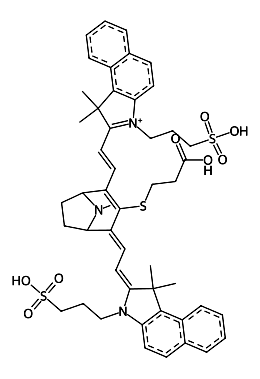 CN1C2CCC1/C(=C\C=C1\N(CCCS(=O)(=O)O)c3ccc4ccccc4c3C1(C)C)C(SCCC(=O)O)=C2/C=C/C1=[N+](CCCS(=O)(=O)O)c2ccc3ccccc3c2C1(C)C